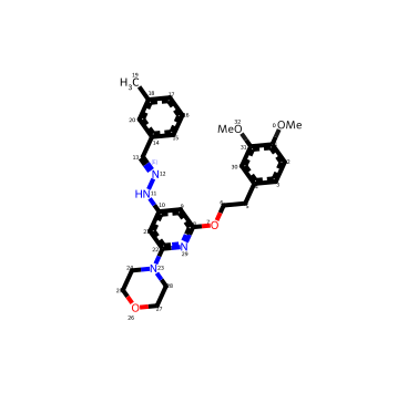 COc1ccc(CCOc2cc(N/N=C/c3cccc(C)c3)cc(N3CCOCC3)n2)cc1OC